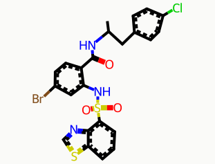 CC(Cc1ccc(Cl)cc1)NC(=O)c1ccc(Br)cc1NS(=O)(=O)c1cccc2scnc12